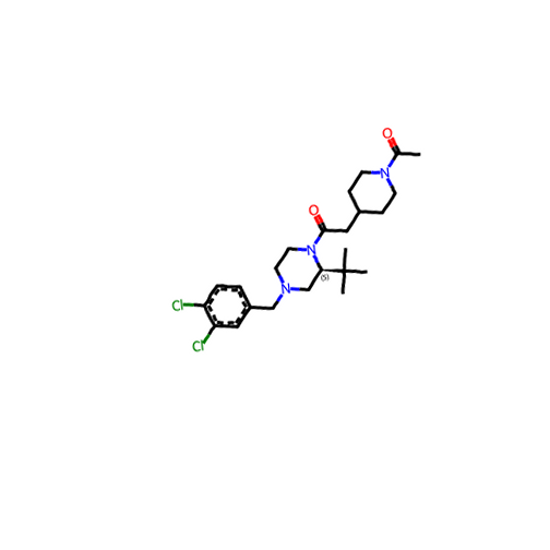 CC(=O)N1CCC(CC(=O)N2CCN(Cc3ccc(Cl)c(Cl)c3)C[C@@H]2C(C)(C)C)CC1